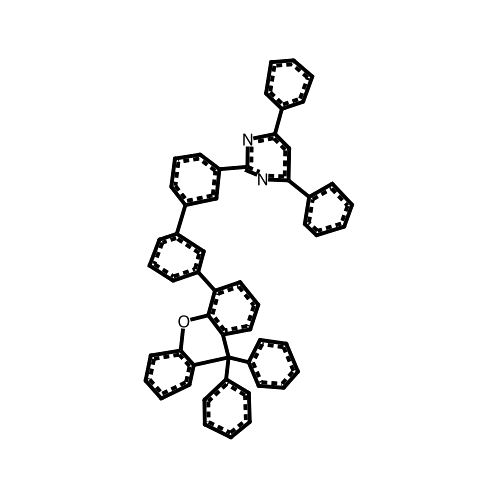 c1ccc(-c2cc(-c3ccccc3)nc(-c3cccc(-c4cccc(-c5cccc6c5Oc5ccccc5C6(c5ccccc5)c5ccccc5)c4)c3)n2)cc1